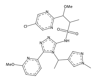 COc1cccc(-c2nnc(NS(=O)(=O)C(C)C(OC)c3ncc(Cl)cn3)n2C(C)c2cnn(C)c2)n1